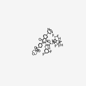 O=C(Cn1nc(C(F)F)c2c1C(F)(F)[C@@H]1C[C@H]21)N[C@@H](Cc1cc(F)cc(F)c1)c1nc2cc(-c3cncnc3)ccc2c(=O)n1-c1ccc(S(=O)(=O)N2CCOCC2)cc1